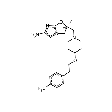 C[C@]1(CN2CCC(OCCc3ccc(C(F)(F)F)cc3)CC2)Cn2cc([N+](=O)[O-])nc2O1